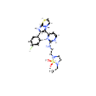 CCN1CCN(CCNc2nccc(-c3c(-c4ccc(F)cc4)nc4sccn34)n2)S1(=O)=O